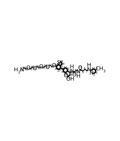 Cc1ccnc(NCCCC(=O)NCC(=O)N[C@@H](CC(=O)O)c2ccc(-c3ccc(OCCOCCOCCOCCOCCN)c4sccc34)cc2)c1